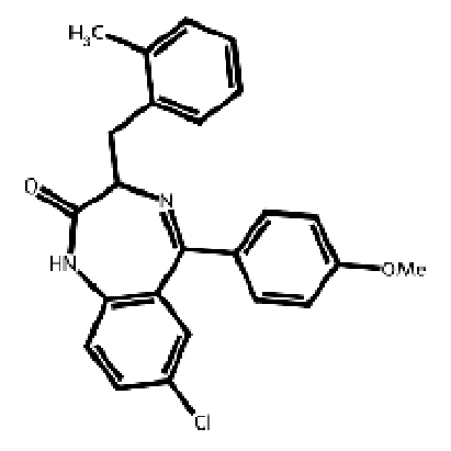 COc1ccc(C2=NC(Cc3ccccc3C)C(=O)Nc3ccc(Cl)cc32)cc1